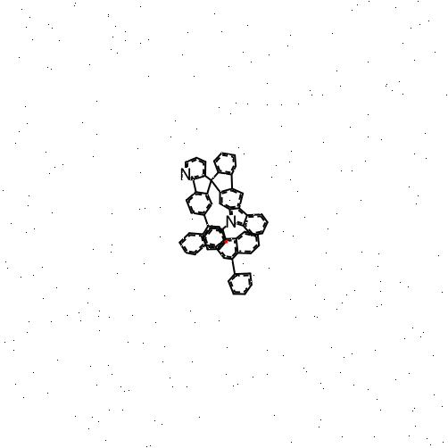 c1ccc(-c2cc3c4ccccc4c(-c4ccc5c(c4)C4(c6ccccc6-c6cc7c8ccccc8n(-c8ccccc8)c7cc64)c4cccnc4-5)cc3c3ccccc23)cc1